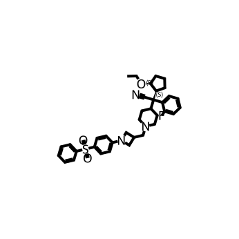 CCO[C@@H]1CCC[C@H]1C(C#N)(c1ccccc1F)C1CCN(CC2CN(c3ccc(S(=O)(=O)c4ccccc4)cc3)C2)CC1